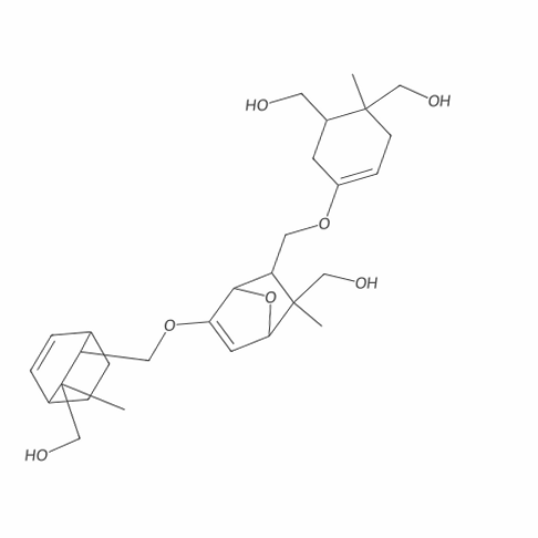 CC1(CO)CC=C(OCC2C3OC(C=C3OCC3C4C=CC(CC4)C3(C)CO)C2(C)CO)CC1CO